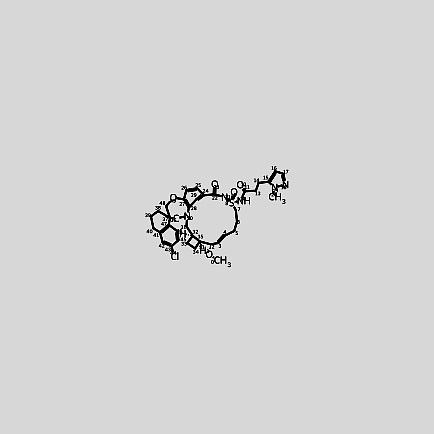 CO[C@H]1/C=C/CCC[S@](=O)(NC(=O)CCc2ccnn2C)=NC(=O)c2ccc3c(c2)N(C[C@@H]2CC[C@H]21)C[C@@]1(CCCc2cc(Cl)ccc21)CO3